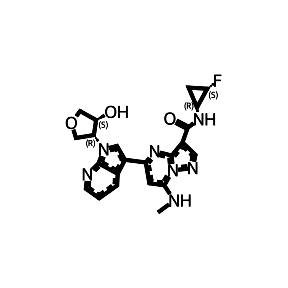 CNc1cc(-c2cn([C@@H]3COC[C@H]3O)c3ncccc23)nc2c(C(=O)N[C@@H]3C[C@@H]3F)cnn12